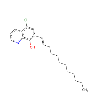 CCCCCCCCCCC=Cc1cc(Cl)c2cccnc2c1O